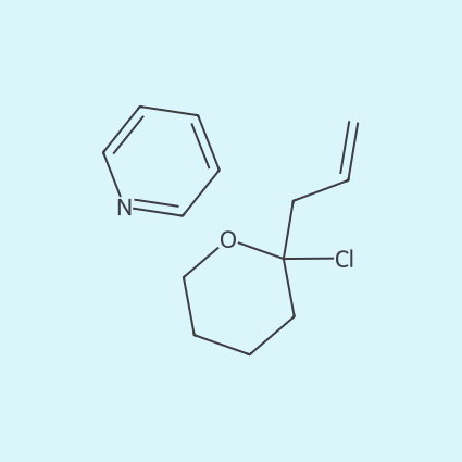 C=CCC1(Cl)CCCCO1.c1ccncc1